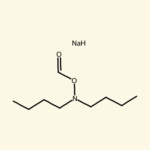 CCCCN(CCCC)OC=O.[NaH]